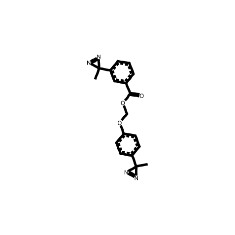 CC1(c2ccc(OCOC(=O)c3cccc(C4(C)N=N4)c3)cc2)N=N1